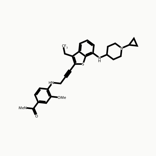 CNC(=O)c1ccc(NCC#Cc2sc3c(NC4CCN(C5CC5)CC4)cccc3c2CC(F)(F)F)c(OC)c1